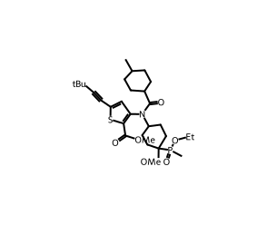 CCOP(C)(=O)C1(OC)CCC(N(C(=O)C2CCC(C)CC2)c2cc(C#CC(C)(C)C)sc2C(=O)OC)CC1